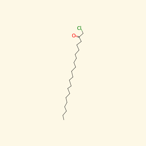 CCCCCCCCCCCCCCCCCCCC(=O)CCl